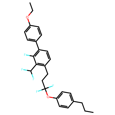 CCCc1ccc(OC(F)(F)CCc2ccc(-c3ccc(OCC)cc3)c(F)c2C(F)F)cc1